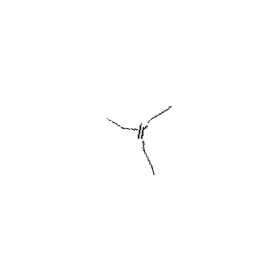 [CH3][Ir]([CH3])[CH3]